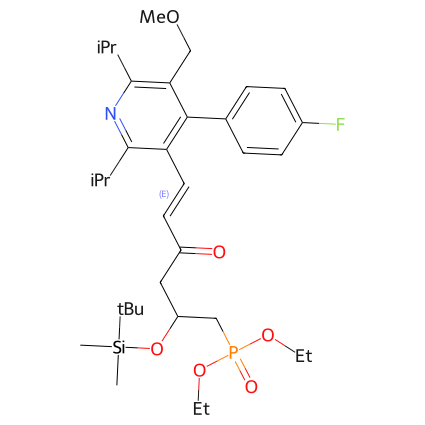 CCOP(=O)(CC(CC(=O)/C=C/c1c(C(C)C)nc(C(C)C)c(COC)c1-c1ccc(F)cc1)O[Si](C)(C)C(C)(C)C)OCC